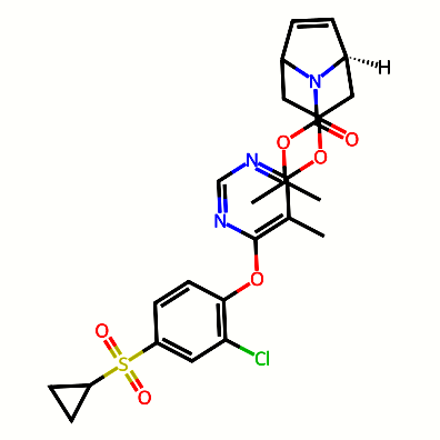 Cc1c(Oc2ccc(S(=O)(=O)C3CC3)cc2Cl)ncnc1OC1CC2C=C[C@@H](C1)N2C(=O)OC(C)C